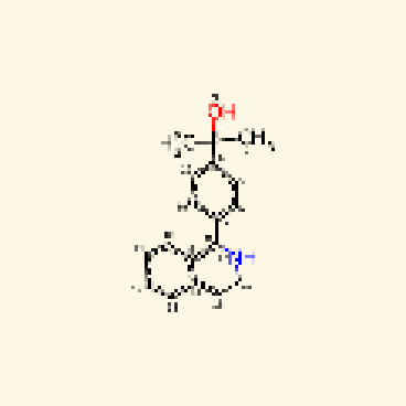 CC(C)(O)c1ccc(C2=c3ccccc3=CCN2)cc1